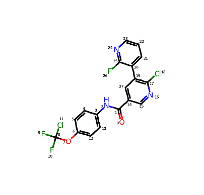 O=C(Nc1ccc(OC(F)(F)Cl)cc1)c1cnc(Cl)c(-c2cccnc2F)c1